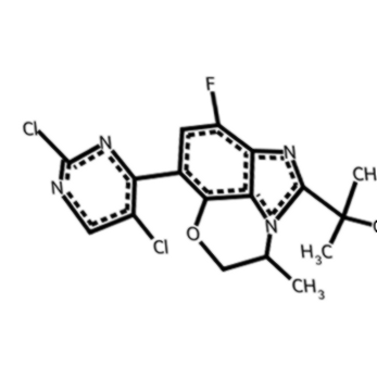 CC1COc2c(-c3nc(Cl)ncc3Cl)cc(F)c3nc(C(C)(C)O)n1c23